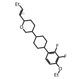 CC/C=C/C1CCC(C2CCC(c3ccc(OCC)c(F)c3F)CC2)CO1